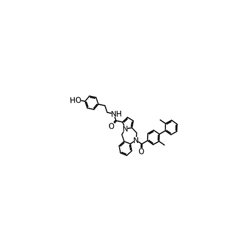 Cc1ccccc1-c1ccc(C(=O)N2Cc3ccc(C(=O)NCCc4ccc(O)cc4)n3Cc3ccccc32)cc1C